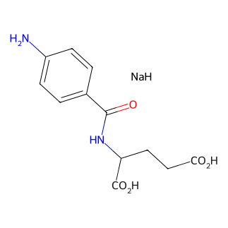 Nc1ccc(C(=O)NC(CCC(=O)O)C(=O)O)cc1.[NaH]